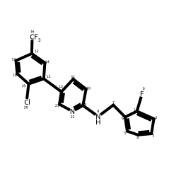 Fc1ccccc1CNc1ccc(-c2cc(C(F)(F)F)ccc2Cl)cn1